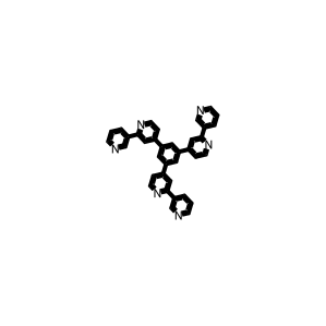 c1cncc(-c2cc(-c3cc(-c4ccnc(-c5cccnc5)c4)cc(-c4ccnc(-c5cccnc5)c4)c3)ccn2)c1